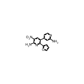 Nc1cc(-c2cc([N+](=O)[O-])c(N)nc2-c2ccco2)ccn1